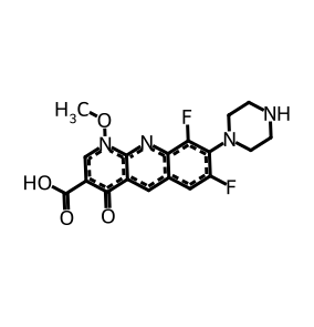 COn1cc(C(=O)O)c(=O)c2cc3cc(F)c(N4CCNCC4)c(F)c3nc21